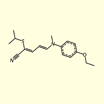 CCOc1ccc(N(C)C=CC=C(C#N)SC(C)C)cc1